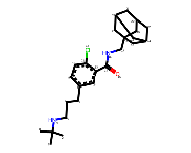 CC(C)(C)NCCCc1ccc(Cl)c(C(=O)NCC23CC4CC(CC(C4)C2)C3)c1